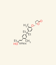 CCCCCCC(O)(/C=C/c1ccc(C(CC)(CC)c2ccc(OC[C@@H]3CCC(=O)O3)c(C)c2)cc1C)CC